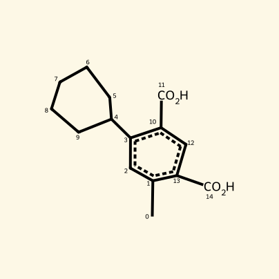 Cc1cc(C2CCCCC2)c(C(=O)O)cc1C(=O)O